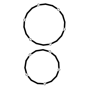 C1COCCOCCOCCOCCO1.C1COCCOCCOCCOCCOCCO1